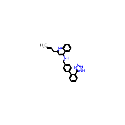 CC=CCc1cc(NCc2ccc(-c3ccccc3-c3nnn[nH]3)cc2)c2ccccc2n1